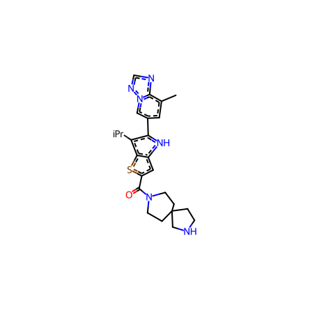 Cc1cc(-c2[nH]c3cc(C(=O)N4CCC5(CCNC5)CC4)sc3c2C(C)C)cn2ncnc12